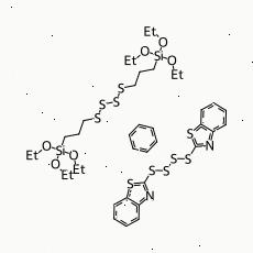 CCO[Si](CCCSSSSCCC[Si](OCC)(OCC)OCC)(OCC)OCC.c1ccc2sc(SSSSc3nc4ccccc4s3)nc2c1.c1ccccc1